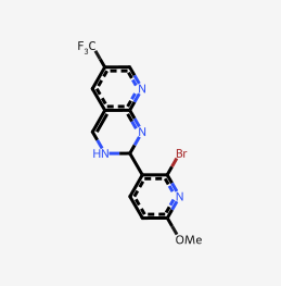 COc1ccc(C2N=c3ncc(C(F)(F)F)cc3=CN2)c(Br)n1